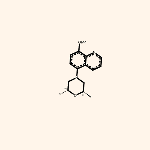 COc1ccc(N2C[C@@H](C)O[C@@H](C)C2)c2cccnc12